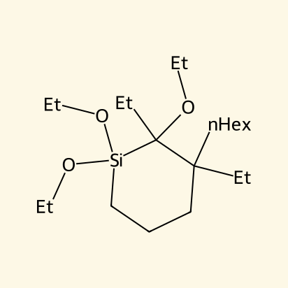 CCCCCCC1(CC)CCC[Si](OCC)(OCC)C1(CC)OCC